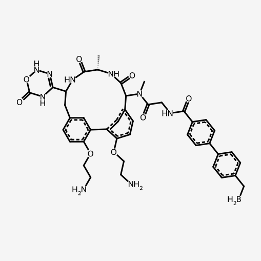 BCc1ccc(-c2ccc(C(=O)NCC(=O)N(C)C3C(=O)N[C@@H](C)C(=O)NC(C4=NNOC(=O)N4)Cc4ccc(OCCN)c(c4)-c4cc3ccc4OCCN)cc2)cc1